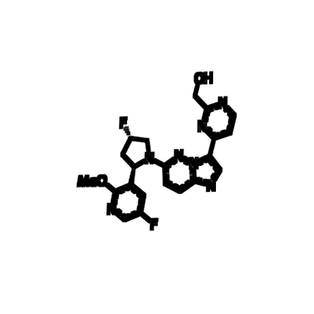 COc1ncc(F)cc1[C@H]1C[C@H](F)CN1c1ccc2ncc(-c3ccnc(CO)n3)n2n1